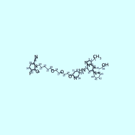 CCc1cnn2c(NCc3ccc(OCCOCCOCCCCCn4c(C#N)ccc(F)c4=O)nc3)cc(N3CCCC[C@H]3CCO)nc12